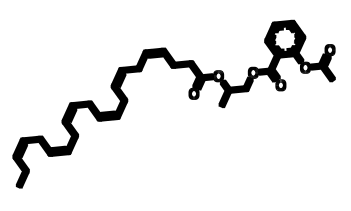 CC/C=C\C/C=C\C/C=C\C/C=C\C/C=C\C/C=C\CCC(=O)OC(C)COC(=O)c1ccccc1OC(C)=O